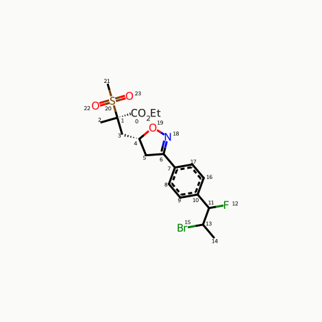 CCOC(=O)[C@@](C)(C[C@H]1CC(c2ccc(C(F)C(C)Br)cc2)=NO1)S(C)(=O)=O